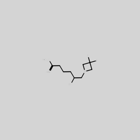 CCC(CCCC(=N)C(=O)O)CN1CC(F)(F)C1